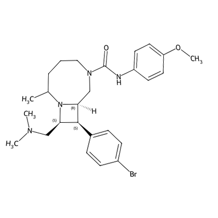 COc1ccc(NC(=O)N2CCCC(C)N3[C@H](CN(C)C)[C@H](c4ccc(Br)cc4)[C@@H]3C2)cc1